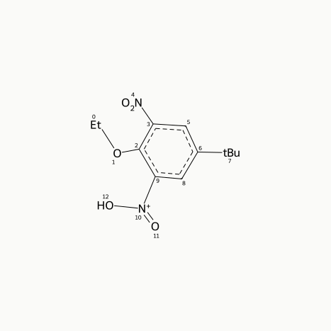 CCOc1c([N+](=O)[O-])cc(C(C)(C)C)cc1[N+](=O)O